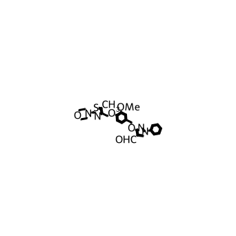 COc1cc(COc2nn(-c3ccccc3)cc2C=O)ccc1OCc1nc(N2CCOCC2)sc1C